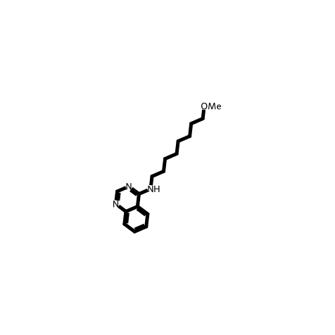 COCCCCCCCCNc1ncnc2ccccc12